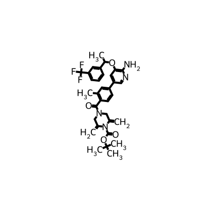 C=C1CN(C(=O)c2ccc(-c3cnc(N)c(OC(C)c4cccc(C(F)(F)F)c4)c3)cc2C)CC(=C)N1C(=O)OC(C)(C)C